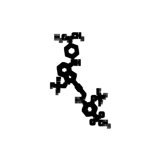 CN(C)[C@H]1CC[C@H](Nc2cccc3c2cc(C#CCNc2ccc(S(C)(=O)=O)cc2OC(F)(F)F)n3CC(F)(F)F)CC1